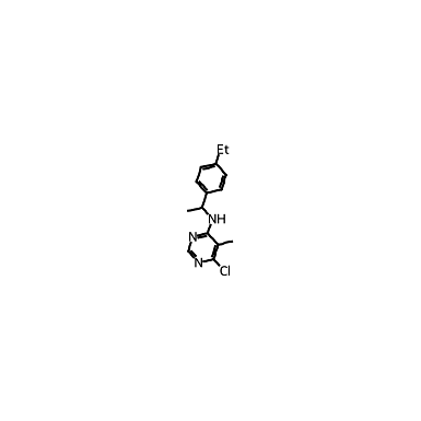 CCc1ccc(C(C)Nc2ncnc(Cl)c2C)cc1